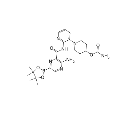 CC1(C)OB(c2cnc(N)c(C(=O)Nc3ncccc3N3CCC(OC(N)=O)CC3)n2)OC1(C)C